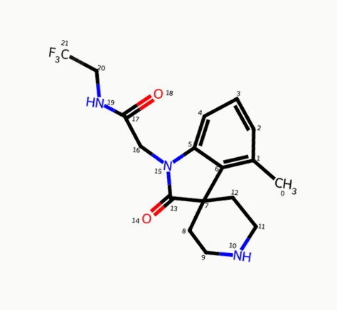 Cc1cccc2c1C1(CCNCC1)C(=O)N2CC(=O)NCC(F)(F)F